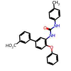 Cc1ccc(NC(=O)Nc2cc(-c3cccc(C(=O)O)c3)ccc2Oc2ccccc2)cc1